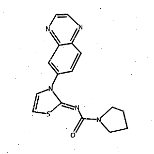 O=C(/N=c1\sccn1-c1ccc2nccnc2c1)N1CCCC1